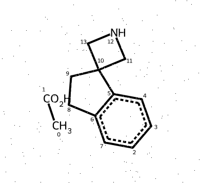 CC(=O)O.c1ccc2c(c1)CCC21CNC1